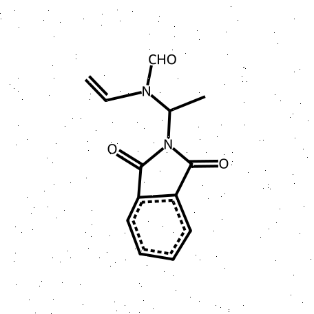 C=CN(C=O)C(C)N1C(=O)c2ccccc2C1=O